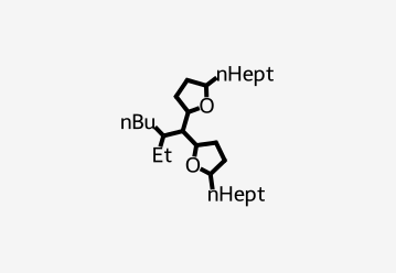 CCCCCCCC1CCC(C(C(CC)CCCC)C2CCC(CCCCCCC)O2)O1